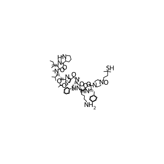 CC[C@H](C)[C@H](NC(=O)C1CCCCN1C)C(=O)N(C)[C@H](C[C@@H](OC(C)=O)c1nc(C(=O)N(C)[C@@H](CSc2ccccc2)C(=O)N[C@H](CCCCN)C(=O)N[C@@H](Cc2ccccc2)C(=O)N2CCN(C(=O)CCC(C)(C)S)CC2)cs1)C(C)C